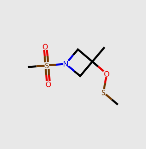 CSOC1(C)CN(S(C)(=O)=O)C1